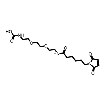 O=C(O)NCCOCCOCCNC(=O)CCCCCN1C(=O)C=CC1=O